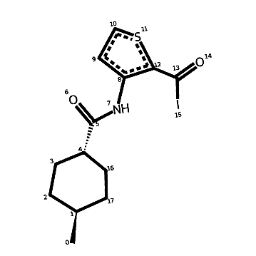 C[C@H]1CC[C@H](C(=O)Nc2ccsc2C(=O)I)CC1